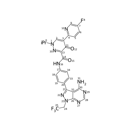 CC(C)n1cc(-c2ccc(F)cn2)c(=O)c(C(=O)Nc2ccc(-c3nn(CC(F)(F)F)c4ncnc(N)c34)cc2)n1